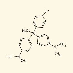 CN(C)c1ccc([Si](C)(c2ccc(Br)cc2)c2ccc(N(C)C)cc2)cc1